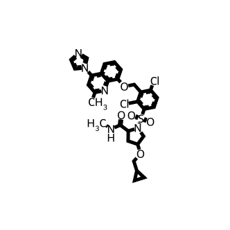 CNC(=O)C1CC(OCC2CC2)CN1S(=O)(=O)c1ccc(Cl)c(COc2cccc3c(-n4ccnc4)cc(C)nc23)c1Cl